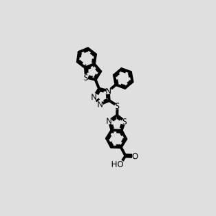 O=C(O)c1ccc2nc(Sc3nnc(-c4cc5ccccc5s4)n3-c3ccccc3)sc2c1